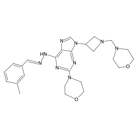 Cc1cccc(C=NNc2nc(N3CCOCC3)nc3c2ncn3C2CN(CN3CCOCC3)C2)c1